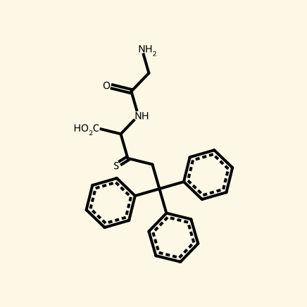 NCC(=O)NC(C(=O)O)C(=S)CC(c1ccccc1)(c1ccccc1)c1ccccc1